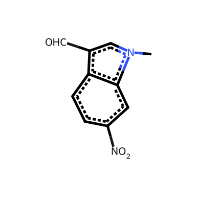 Cn1cc(C=O)c2ccc([N+](=O)[O-])cc21